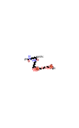 CC(=O)N[C@@H](CCCCNC(=O)C(C)C)C(=O)NCCCCC(CO)COP(=O)(O)OCCOCCOCCOP(=O)(O)OC(C)C